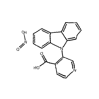 O=C(O)c1ccncc1-n1c2ccccc2c2ccccc21.O=NO